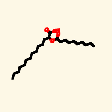 CCCCCCCCCCCCC(OC(=O)CCCCCCCCC)C(=O)O